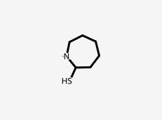 SC1CCCCC[N]1